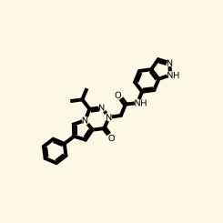 CC(C)c1nn(CC(=O)Nc2ccc3cn[nH]c3c2)c(=O)c2cc(-c3ccccc3)cn12